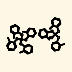 Cc1ccccc1[O][Zr]([Cl])([O]c1ccccc1C)[O]c1ccccc1C.Cc1ccccc1[O][Zr]([O]c1ccccc1C)([O]c1ccccc1C)[O]c1ccccc1C